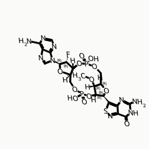 CO[C@H]1[C@H]2OP(=O)(O)OC[C@H]3O[C@@H](n4cnc5c(N)ncnc54)[C@H](F)[C@@H]3OP(=O)(O)OC[C@H]1O[C@H]2c1snc2c(=O)[nH]c(N)nc12